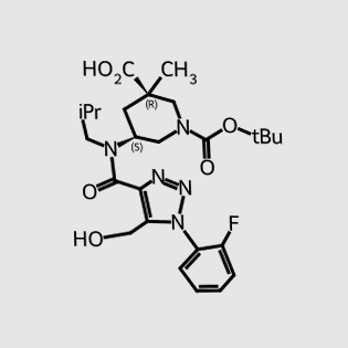 CC(C)CN(C(=O)c1nnn(-c2ccccc2F)c1CO)[C@@H]1CN(C(=O)OC(C)(C)C)C[C@](C)(C(=O)O)C1